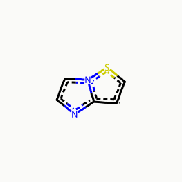 [c]1csn2ccnc12